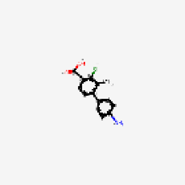 Cc1c(-c2ccc(N)cc2)ccc(C(=O)O)c1Cl